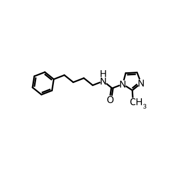 Cc1nccn1C(=O)NCCCCc1ccccc1